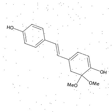 COC1(OC)CC(C=Cc2ccc(O)cc2)=CC=C1O